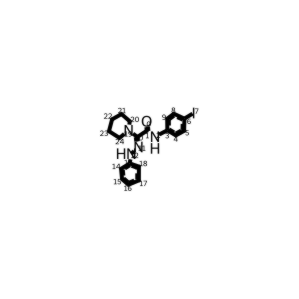 O=C(Nc1ccc(I)cc1)C(=NNc1ccccc1)N1CCCCC1